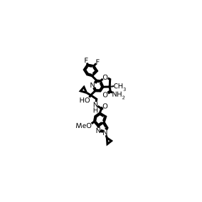 COc1cc(C(=O)NCC(O)(c2cc3c(c(-c4ccc(F)c(F)c4)n2)OC[C@]3(C)C(N)=O)C2CC2)cc2cn(C3CC3)nc12